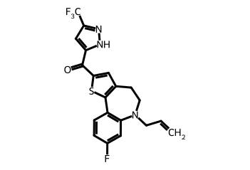 C=CCN1CCc2cc(C(=O)c3cc(C(F)(F)F)n[nH]3)sc2-c2ccc(F)cc21